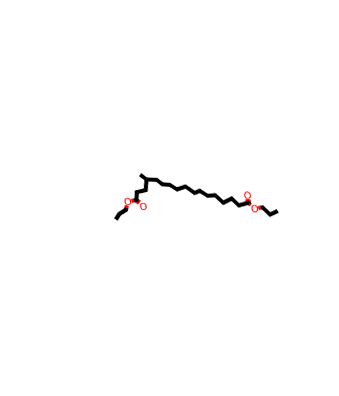 CCCOC(=O)CCCCCCCCCCCCC(C)CCC(=O)OCCC